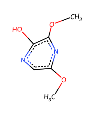 COc1cnc(O)c(OC)n1